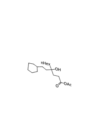 CCCCCCC(O)(CCC(=O)OC(C)=O)CCC1CCCCC1